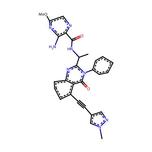 COc1cnc(C(=O)NC(C)c2nc3cccc(C#Cc4cnn(C)c4)c3c(=O)n2-c2ccccc2)c(N)n1